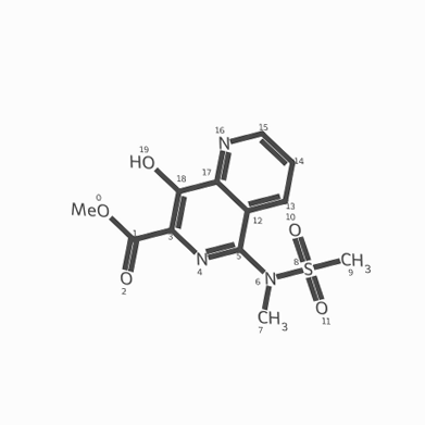 COC(=O)c1nc(N(C)S(C)(=O)=O)c2cccnc2c1O